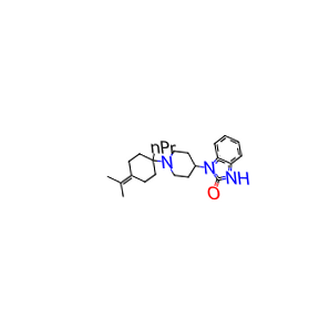 CCCC1(N2CCC(n3c(=O)[nH]c4ccccc43)CC2)CCC(=C(C)C)CC1